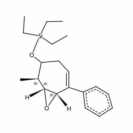 CC[Si](CC)(CC)OC1CC=C(c2ccccc2)[C@@H]2O[C@@H]2[C@H]1C